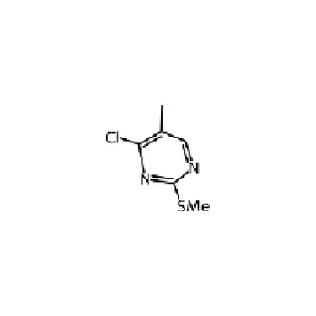 [CH2]c1cnc(SC)nc1Cl